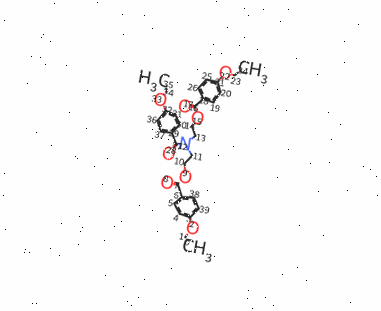 CCOc1ccc(C(=O)OCCN(CCOC(=O)c2ccc(OCC)cc2)C(=O)c2ccc(OCC)cc2)cc1